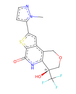 Cn1nccc1-c1cc2c3c([nH]c(=O)c2s1)[C@@](O)(C(F)(F)F)COC3